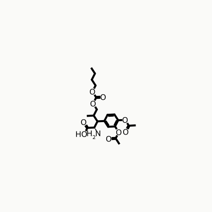 CCCCOC(=O)OCC(C)C(c1ccc(OC(C)=O)c(OC(C)=O)c1)[C@H](N)C(=O)O